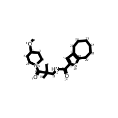 COC1CCN(C(=O)C(C)(C)CNC(=O)c2cc3c(s2)CCCCCC3)CC1